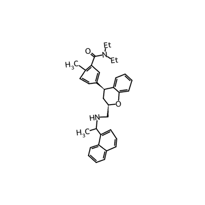 CCN(CC)C(=O)c1cc([C@@H]2C[C@H](CNC(C)c3cccc4ccccc34)Oc3ccccc32)ccc1C